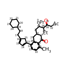 CCCC(CC1CC(=O)c2c(C)ccc(C3=CC=C(CCC4CCCCC4)C3)c2C1)C(CC)C(=O)CC(C)=O